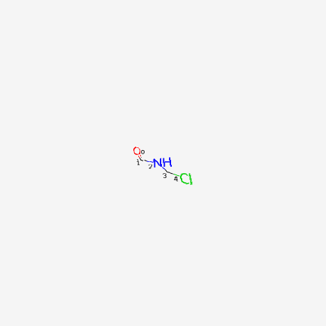 O=[C]NCCl